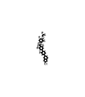 CCC1Cc2ccc(-c3ccc(-c4cc(F)c(C(F)(F)Oc5cc(F)c(OC=C(F)F)c(F)c5)c(F)c4)c(F)c3)cc2C1